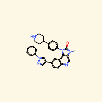 Cn1c(=O)n(-c2ccc(C3CCNCC3)cc2)c2c3cc(-c4cnn(-c5ccccc5)c4)ccc3ncc21